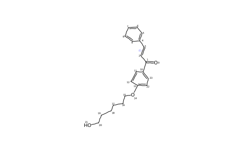 O=C(/C=C/c1ccccc1)c1ccc(OCCCCCCO)cc1